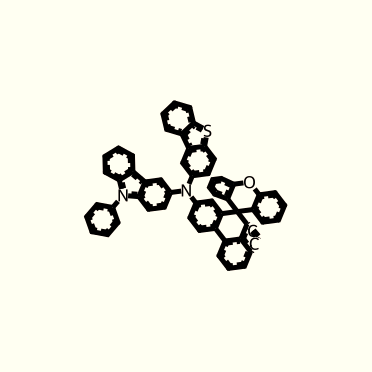 c1ccc(-n2c3ccccc3c3cc(N(c4ccc5c(c4)C4(c6ccccc6Oc6ccccc64)c4cccc6cccc-5c46)c4ccc5sc6ccccc6c5c4)ccc32)cc1